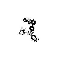 O=C(O)C(F)(F)F.O=S1(=O)CCC(NS(=O)(=O)c2ccc(-c3ccnc4[nH]c(C5CCC5)cc34)cc2)CC1